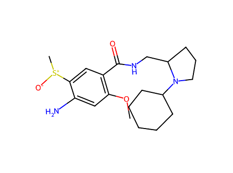 COc1cc(N)c([S+](C)[O-])cc1C(=O)NCC1CCCN1C1CCCCC1